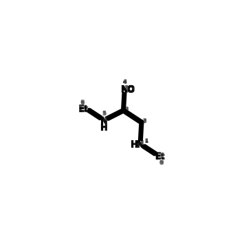 CCNCC(N=O)NCC